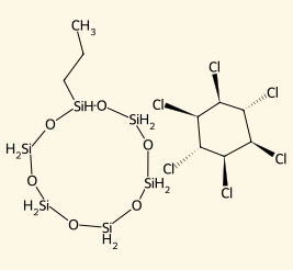 CCC[SiH]1O[SiH2]O[SiH2]O[SiH2]O[SiH2]O[SiH2]O1.Cl[C@H]1[C@H](Cl)[C@@H](Cl)[C@@H](Cl)[C@H](Cl)[C@H]1Cl